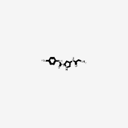 CC(C)(C)c1ccc(NC(=O)[C@@H]2CC(NC(=O)CN)CN2)cc1